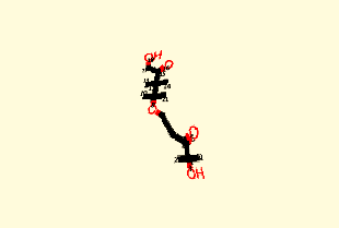 CC(C)(O)C(=O)CCOC(C)(C)C(C)(C)C(=O)CO